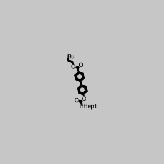 CCCCCCCC(=O)Oc1ccc(-c2ccc(C(=O)OCCC(C)CC)cc2)cc1